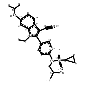 CCn1c(-c2ccc(N(CC(F)F)S(=O)(=O)C3CC3)nc2)c(C#N)c2ccc(OC(C)C)cc21